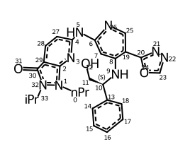 CCCn1c2nc(Nc3cc(N[C@H](CO)c4ccccc4)c(-c4nnco4)cn3)ccc2c(=O)n1C(C)C